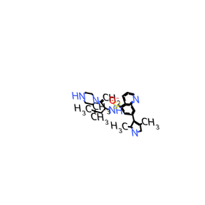 C=C([C@H](CC(C)(C)C)N[S+]([O-])c1cc(C2=C(C)CN=C2C)cc2ncccc12)N1CCNCC1